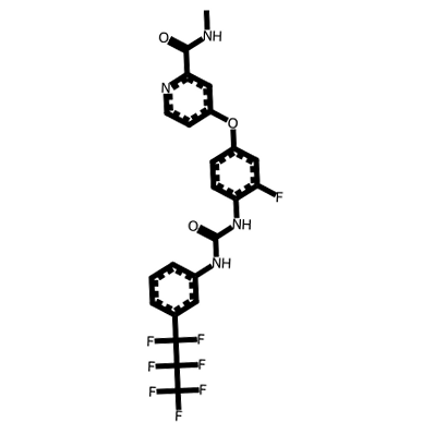 CNC(=O)c1cc(Oc2ccc(NC(=O)Nc3cccc(C(F)(F)C(F)(F)C(F)(F)F)c3)c(F)c2)ccn1